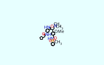 COc1cc(C(=O)NS(=O)(=O)c2ccccc2C)ccc1C(CC(=O)N(C)C)c1c[nH]c2ccc(NC(=O)CC3CCCC3)cc12